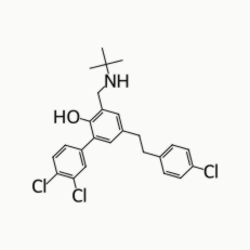 CC(C)(C)NCc1cc(CCc2ccc(Cl)cc2)cc(-c2ccc(Cl)c(Cl)c2)c1O